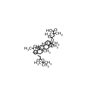 C=C(C)[C@@H]1CC[C@]2(CCC(=O)OC(C)(C)C)CC[C@]3(C)[C@H](CC[C@@H]4[C@@]5(C)CC[C@H](OC(=O)CC(C)(C)C(=O)O)C(C)(C)[C@@H]5CC[C@]43C)[C@@H]12